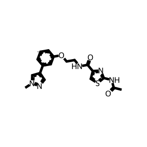 CC(=O)Nc1nc(C(=O)NCCOc2c[c]cc(-c3cnn(C)c3)c2)cs1